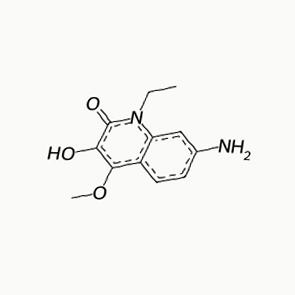 CCn1c(=O)c(O)c(OC)c2ccc(N)cc21